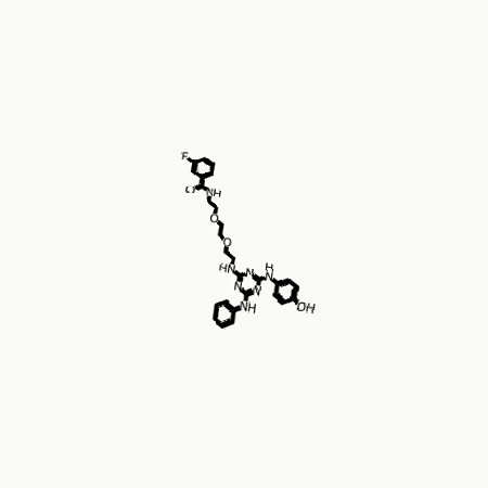 O=C(NCCOCCOCCNc1nc(Nc2ccccc2)nc(Nc2ccc(O)cc2)n1)c1cccc(F)c1